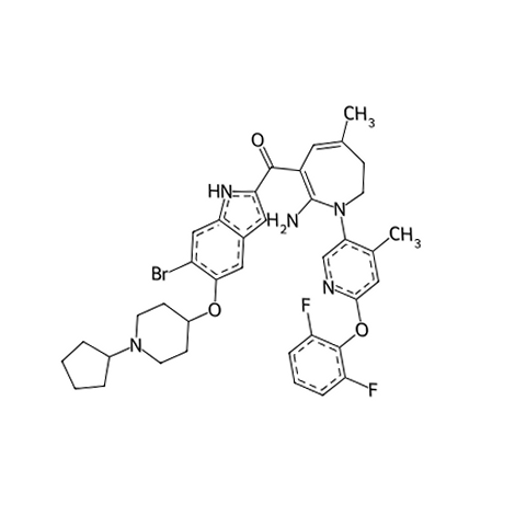 CC1=CC(C(=O)c2cc3cc(OC4CCN(C5CCCC5)CC4)c(Br)cc3[nH]2)=C(N)N(c2cnc(Oc3c(F)cccc3F)cc2C)CC1